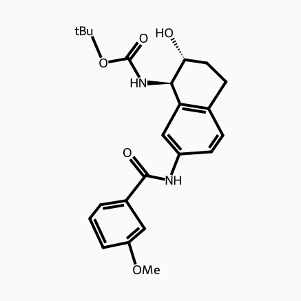 COc1cccc(C(=O)Nc2ccc3c(c2)[C@@H](NC(=O)OC(C)(C)C)[C@H](O)CC3)c1